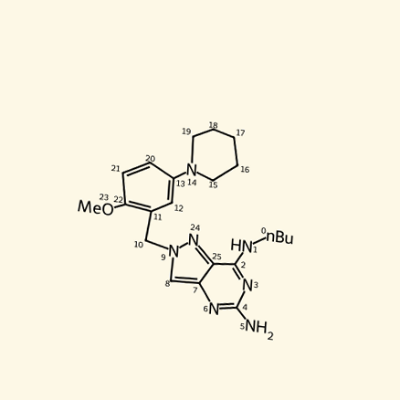 CCCCNc1nc(N)nc2cn(Cc3cc(N4CCCCC4)ccc3OC)nc12